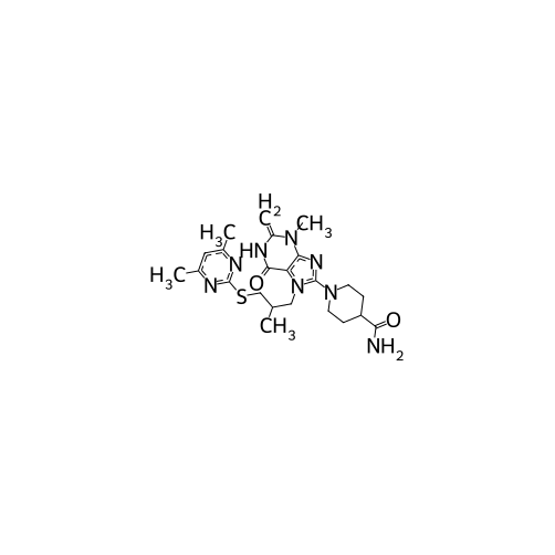 C=C1NC(=O)c2c(nc(N3CCC(C(N)=O)CC3)n2CC(C)CSc2nc(C)cc(C)n2)N1C